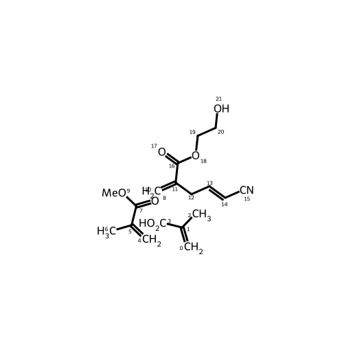 C=C(C)C(=O)O.C=C(C)C(=O)OC.C=C(CC=CC#N)C(=O)OCCO